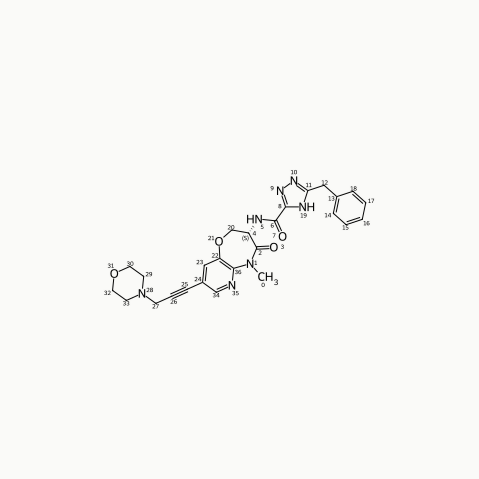 CN1C(=O)[C@@H](NC(=O)c2nnc(Cc3ccccc3)[nH]2)COc2cc(C#CCN3CCOCC3)cnc21